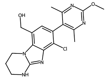 COc1nc(C)c(-c2cc(CO)c3c(nc4n3CCCN4)c2Cl)c(C)n1